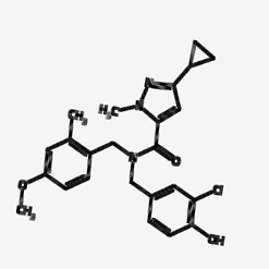 COc1ccc(CN(Cc2ccc(O)c(Cl)c2)C(=O)c2cc(C3CC3)nn2C)c(C)c1